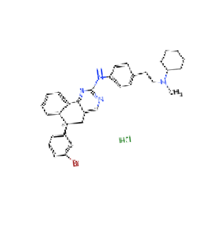 CN(CCc1ccc(Nc2ncc3c(n2)-c2ccccc2[C@H](c2cccc(Br)c2)C3)cc1)C1CCCCC1.Cl